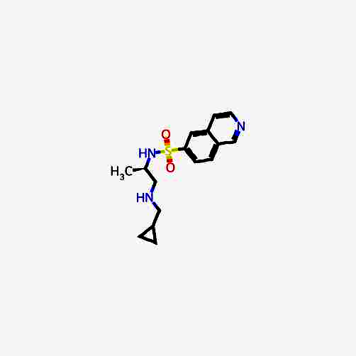 C[C@H](CNCC1CC1)NS(=O)(=O)c1ccc2cnccc2c1